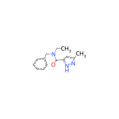 CCN(Cc1ccccc1)C(=O)c1cc(C)n[nH]1